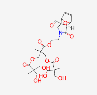 CC(CO)(CO)C(=O)OCC(C)(COC(=O)C(C)(CO)CO)C(=O)OCCN1CC2(C=O)C3C=CC(O3)[C@H]2C1=O